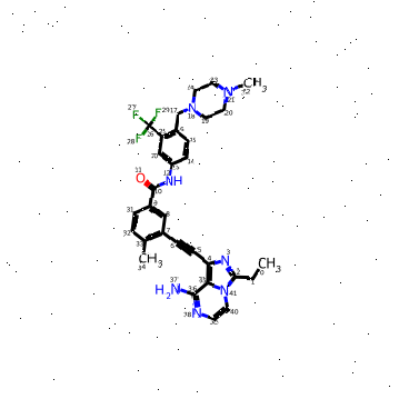 CCc1nc(C#Cc2cc(C(=O)Nc3ccc(CN4CCN(C)CC4)c(C(F)(F)F)c3)ccc2C)c2c(N)nccn12